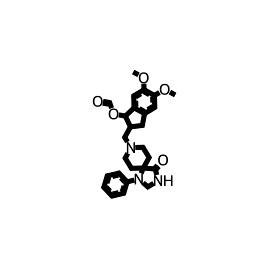 COc1cc2c(cc1OC)C(OC=O)C(CN1CCC3(CC1)C(=O)NCN3c1ccccc1)C2